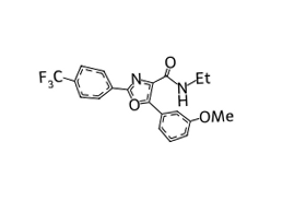 CCNC(=O)c1nc(-c2ccc(C(F)(F)F)cc2)oc1-c1cccc(OC)c1